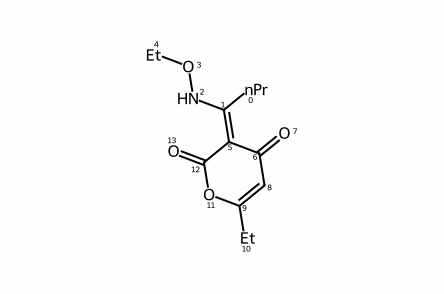 CCCC(NOCC)=C1C(=O)C=C(CC)OC1=O